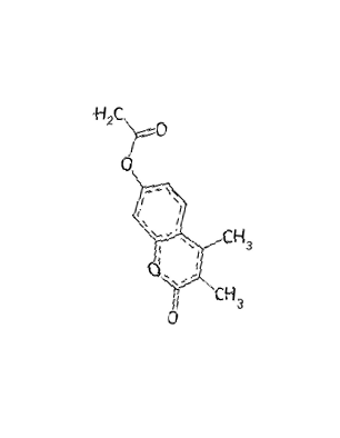 [CH2]C(=O)Oc1ccc2c(C)c(C)c(=O)oc2c1